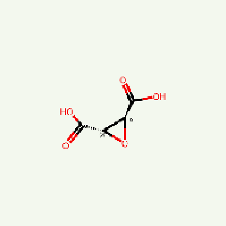 O=C(O)[C@H]1O[C@@H]1C(=O)O